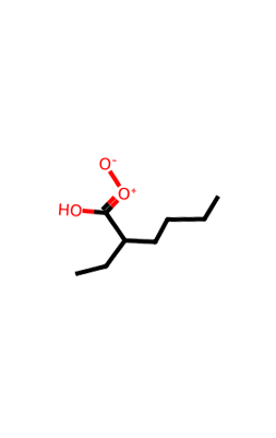 CCCCC(CC)C(O)=[O+][O-]